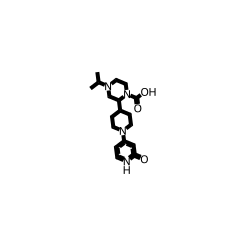 CC(C)N1CCN(C(=O)O)C(C2CCN(c3cc[nH]c(=O)c3)CC2)C1